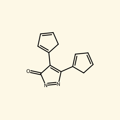 O=C1N=NC(C2=CC=CC2)=C1C1=CC=CC1